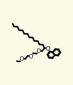 CCCCCCCCCCCCCC(COCCOCCOCC)Oc1cccc2ccccc12